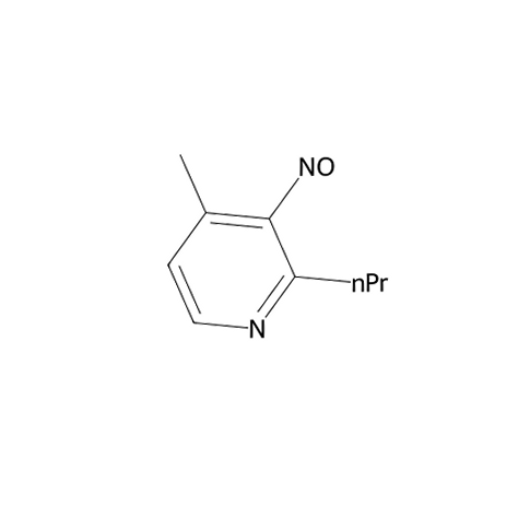 CCCc1nccc(C)c1N=O